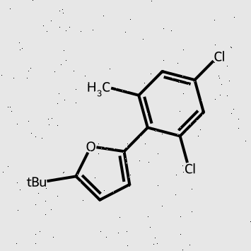 Cc1cc(Cl)cc(Cl)c1-c1ccc(C(C)(C)C)o1